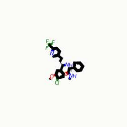 CNC(=O)[C@H](N[C@@H](CCc1ccc(C(F)(F)F)nc1)c1ccc(Cl)c(OC)c1)c1ccccc1